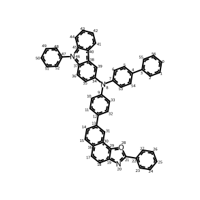 c1ccc(-c2ccc(N(c3ccc(-c4ccc5ccc6nc(-c7ccccc7)oc6c5c4)cc3)c3ccc4c(c3)c3ccccc3n4-c3ccccc3)cc2)cc1